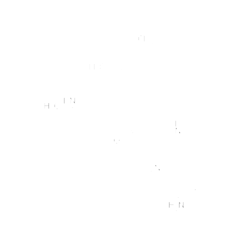 CC[C](C)C(CNC)CC(=O)c1nc(CN)c[nH]1